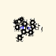 CC1(C)c2ccccc2-c2c1c1cccc3c1n2B1c2cccc4c2N(c2ccccc2[Si]42c4ccccc4-c4ccccc42)c2cc(-c4ccccc4)cc-3c21